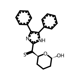 O[C@@H]1CCC[C@@H](C(=S)c2nc(-c3ccccc3)c(-c3ccccc3)[nH]2)O1